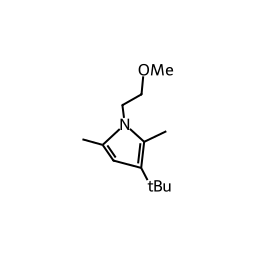 COCCn1c(C)cc(C(C)(C)C)c1C